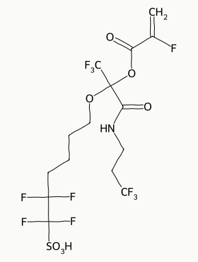 C=C(F)C(=O)OC(OCCCCC(F)(F)C(F)(F)S(=O)(=O)O)(C(=O)NCCC(F)(F)F)C(F)(F)F